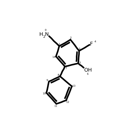 Nc1cc(F)c(O)c(-c2ccccc2)c1